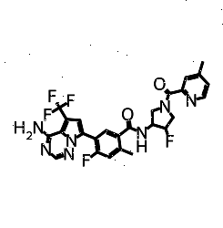 Cc1ccnc(C(=O)N2CC(F)C(NC(=O)c3cc(-c4cc(C(F)(F)F)c5c(N)ncnn45)c(F)cc3C)C2)c1